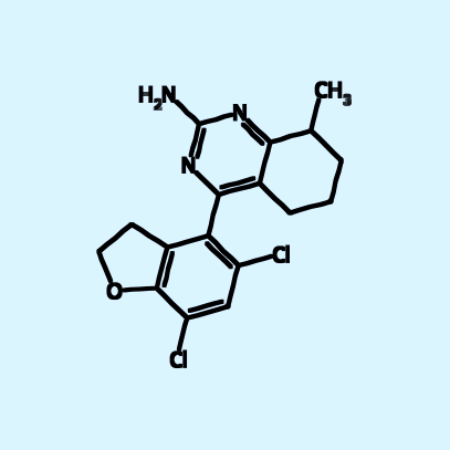 CC1CCCc2c(-c3c(Cl)cc(Cl)c4c3CCO4)nc(N)nc21